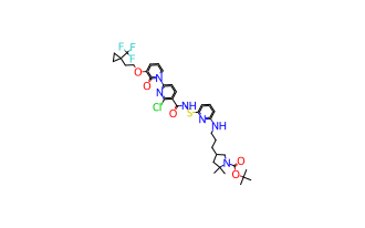 CC(C)(C)OC(=O)N1CC(CCCNc2cccc(SNC(=O)c3ccc(-n4cccc(OCCC5(C(F)(F)F)CC5)c4=O)nc3Cl)n2)CC1(C)C